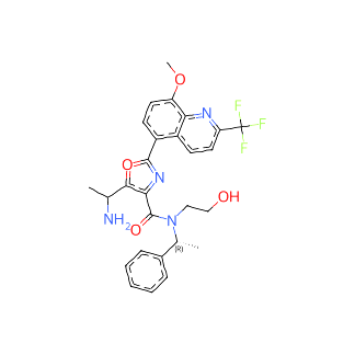 COc1ccc(-c2nc(C(=O)N(CCO)[C@H](C)c3ccccc3)c(C(C)N)o2)c2ccc(C(F)(F)F)nc12